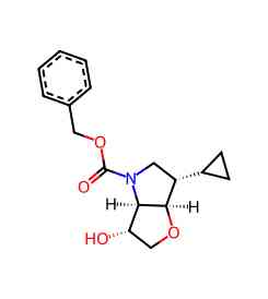 O=C(OCc1ccccc1)N1C[C@H](C2CC2)[C@H]2OC[C@H](O)[C@H]21